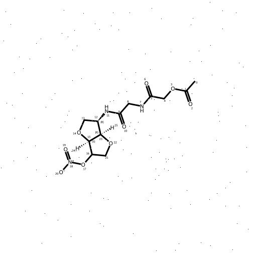 CC(=O)OCC(=O)NCC(=O)N[C@@H]1CO[C@@H]2C(O[N+](=O)[O-])CO[C@@H]21